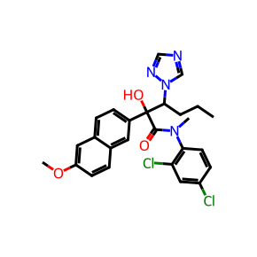 CCCC(n1cncn1)C(O)(C(=O)N(C)c1ccc(Cl)cc1Cl)c1ccc2cc(OC)ccc2c1